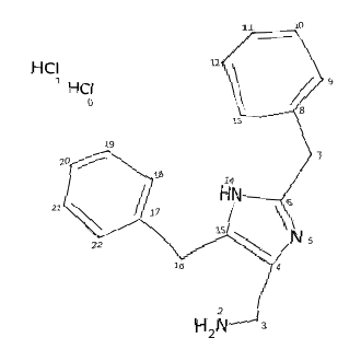 Cl.Cl.NCc1nc(Cc2ccccc2)[nH]c1Cc1ccccc1